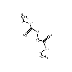 CCOC(=O)SSC(=S)OCC